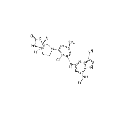 CCNc1nc(Nc2cc(C#N)cc(N3CC[C@H]4NC(=O)O[C@@H]4C3)c2Cl)nn2c(C#N)cnc12